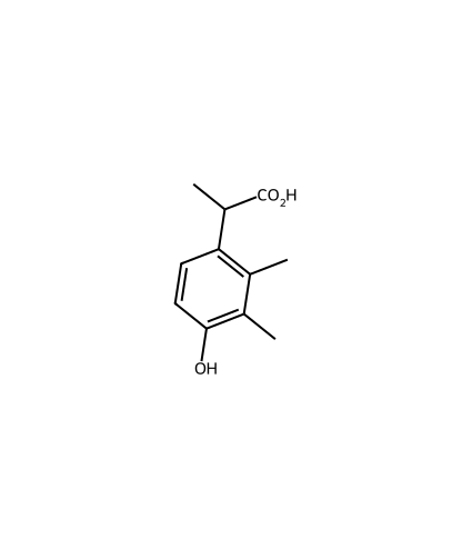 Cc1c(O)ccc(C(C)C(=O)O)c1C